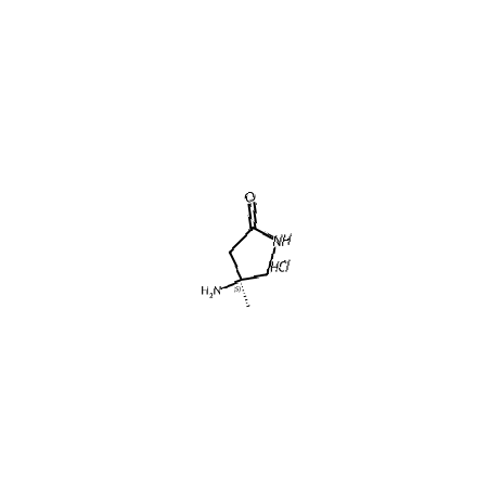 C[C@@]1(N)CNC(=O)C1.Cl